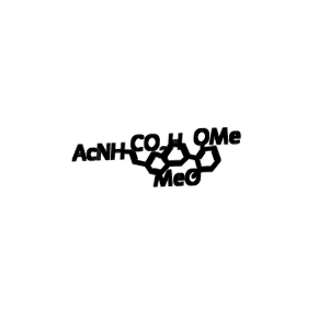 COc1cccc(OC)c1-c1ccc2cc(C=C(NC(C)=O)C(=O)O)ccc2c1